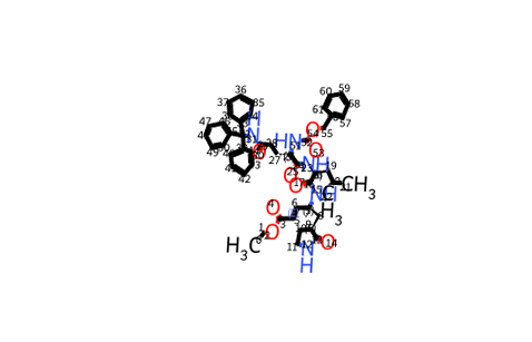 CCOC(=O)/C=C/[C@H](C[C@@H]1CCNC1=O)NC(=O)[C@H](CC(C)C)NC(=O)[C@H](CCC(=O)NC(c1ccccc1)(c1ccccc1)c1ccccc1)NC(=O)OCc1ccccc1